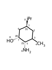 CC(C)[C@H]1CC(C)[C@H](N)[C@H](O)C1